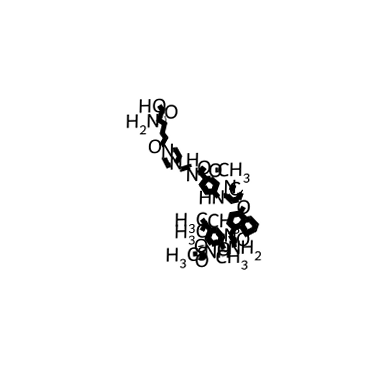 COc1cc(Nc2cc(Oc3ccc(N(C(N)=O)c4cc(C(C)(C)C)cc(NS(C)(=O)=O)c4OC)c4ccccc34)ccn2)ccc1C(=O)NCCN1CCN(C(=O)CCC[C@H](N)C(=O)O)CC1